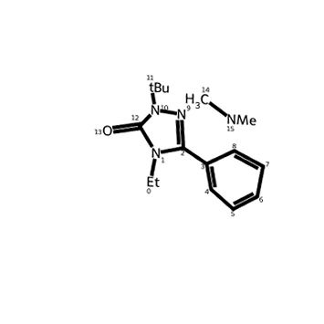 CCn1c(-c2ccccc2)nn(C(C)(C)C)c1=O.CNC